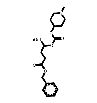 CCCCCCCCC(CCC(=O)OCc1ccccc1)OC(=O)OC1CCN(C)CC1